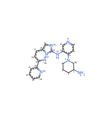 NC1CCCN(c2ccncc2Nc2ncc3ccc(-c4ccccn4)nn23)C1